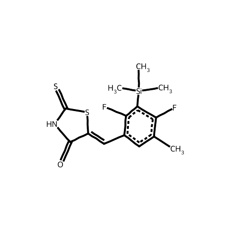 Cc1cc(/C=C2\SC(=S)NC2=O)c(F)c([Si](C)(C)C)c1F